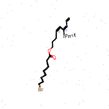 C=C/C=C(\C=C/CCCOC(=O)CCCCCCCBr)CCCCC